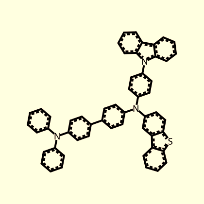 c1ccc(N(c2ccccc2)c2ccc(-c3ccc(N(c4ccc(-n5c6ccccc6c6ccccc65)cc4)c4ccc5sc6ccccc6c5c4)cc3)cc2)cc1